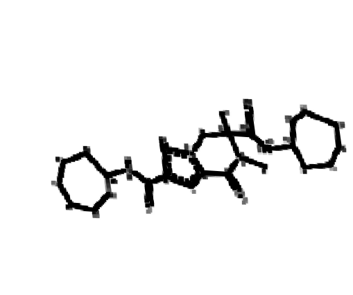 CN1C(=O)c2cc(C(=O)NC3CCCCCC3)nn2CC1(C)C(=O)NC1CCCCCC1